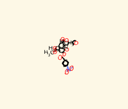 COC(=O)[C@@H]1C[C@H](OC(=O)c2ccc([N+](=O)[O-])cc2)C(=O)[C@@H]2[C@@]3(C)C[C@@H](c4ccoc4)OC(=O)[C@H]3CC[C@]21C